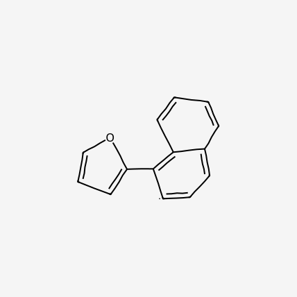 [c]1ccc2ccccc2c1-c1ccco1